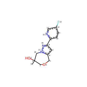 CC1(O)COCc2cc(-c3ccc(F)cn3)nn2C1